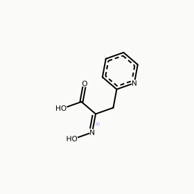 O=C(O)/C(Cc1ccccn1)=N\O